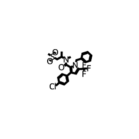 CC(CS(C)(=O)=O)N(C)C(=O)c1c(-c2ccc(Cl)cc2)cc(C(F)(F)F)n1Cc1ccccc1